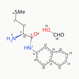 CSCC[C@H](N)C(=O)Nc1ccc2ccccc2c1.O=CO